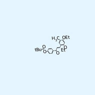 CCOc1cc(OCC)c(C=CC(=O)c2ccc(OC(=O)C(C)(C)C)cc2)cc1C